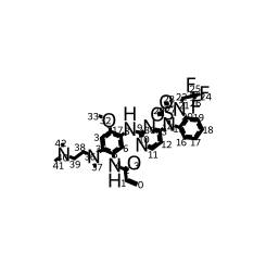 C=CC(=O)Nc1cc(Nc2nccc(N3c4ccccc4N(CC(F)(F)F)S3(=O)=O)n2)c(OC)cc1N(C)CCN(C)C